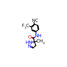 [C-]#[N+]c1ccc(NC(=O)C2(C)CC=NN2)cc1C(F)(F)F